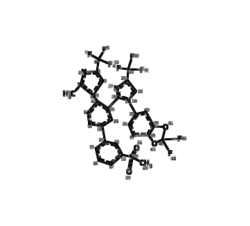 Cc1nc(C(F)(F)F)cn1-c1ccc(-c2cccc(S(C)(=O)=O)c2)cc1-c1nc(C(F)(F)F)cn1-c1ccc2c(c1)OC(F)(F)O2